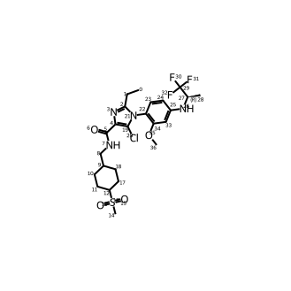 CCc1nc(C(=O)NCC2CCC(S(C)(=O)=O)CC2)c(Cl)n1-c1ccc(N[C@H](C)C(F)(F)F)cc1OC